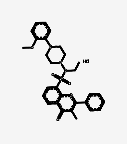 CCN(N1CCN(c2ccccc2OC)CC1)S(=O)(=O)c1cccc2c(=O)c(C)c(-c3ccccc3)oc12.Cl